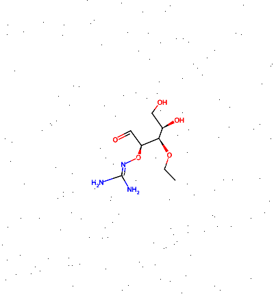 CCO[C@H]([C@H](O)CO)[C@H](C=O)ON=C(N)N